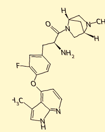 Cc1c[nH]c2nccc(Oc3ccc(C[C@H](N)C(=O)N4C[C@@H]5C[C@H]4CN5C)cc3F)c12